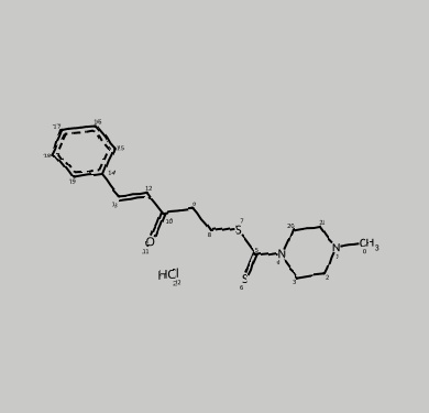 CN1CCN(C(=S)SCCC(=O)C=Cc2ccccc2)CC1.Cl